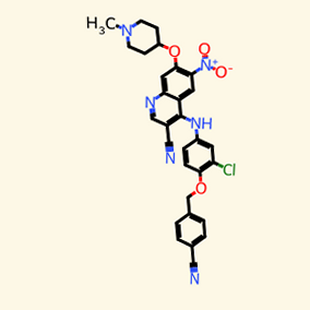 CN1CCC(Oc2cc3ncc(C#N)c(Nc4ccc(OCc5ccc(C#N)cc5)c(Cl)c4)c3cc2[N+](=O)[O-])CC1